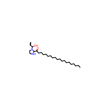 C=CC(O)N1CCNC1C(=O)CCCCCCCCCCCCCCCCCCC